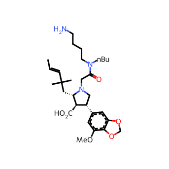 C/C=C/C(C)(C)C[C@H]1[C@H](C(=O)O)[C@@H](c2cc(OC)c3c(c2)OCO3)CN1CC(=O)N(CCCC)CCCCN